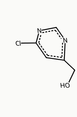 OCc1cc(Cl)ncn1